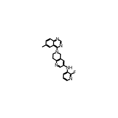 Cc1ccc2ncnc(N3CCc4ncc(Nc5cccnc5F)cc4C3)c2c1